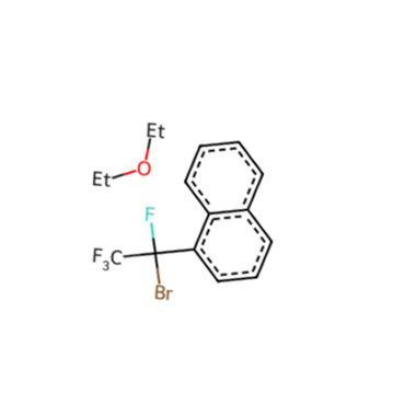 CCOCC.FC(F)(F)C(F)(Br)c1cccc2ccccc12